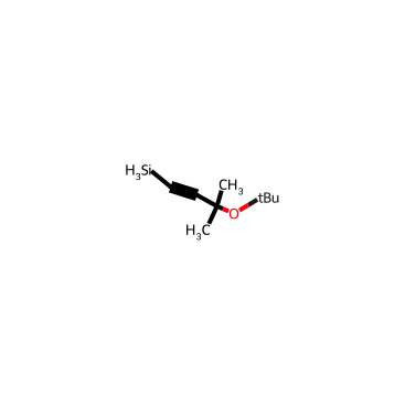 CC(C)(C)OC(C)(C)C#C[SiH3]